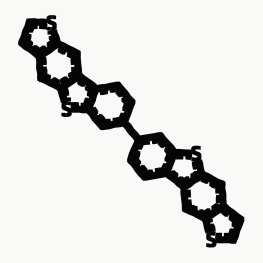 c1cc2cc3sc4cc(-c5ccc6c(c5)sc5cc7ccsc7cc56)ccc4c3cc2s1